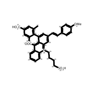 COc1ccc(C=Cc2cc(-c3c(C)cc(C(=O)O)cc3C)c3c(C(=O)[O-])c4ccccc4[n+](CCCCS(=O)(=O)O)c3c2)cc1